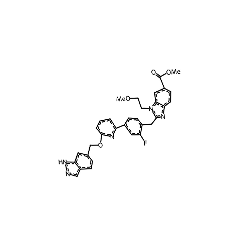 COCCn1c(Cc2ccc(-c3cccc(OCc4ccc5cn[nH]c5c4)n3)cc2F)nc2ccc(C(=O)OC)cc21